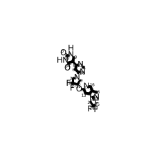 O=c1[nH]cc(-c2cc(N3CC(Oc4cc5c(cn4)cnn5CC(F)(F)F)C(F)(F)C3)ncn2)c(=O)[nH]1